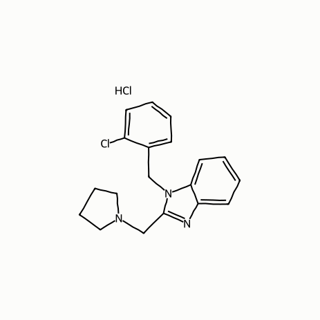 Cl.Clc1ccccc1Cn1c(CN2CCCC2)nc2ccccc21